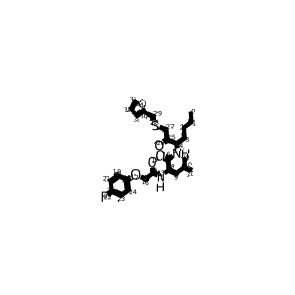 CCCCC(NC(=O)C(CC(C)C)NC(=O)COc1ccc(F)cc1)C(=O)CSCc1ccco1